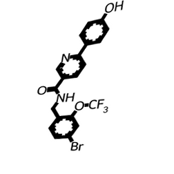 O=C(NCc1ccc(Br)cc1OC(F)(F)F)c1ccc(-c2ccc(O)cc2)nc1